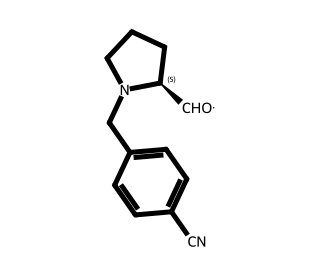 N#Cc1ccc(CN2CCC[C@H]2[C]=O)cc1